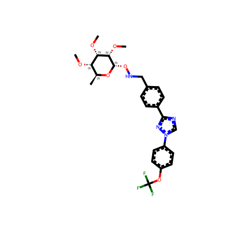 CO[C@@H]1[C@H](OC)[C@H](ONCc2ccc(-c3ncn(-c4ccc(OC(F)(F)F)cc4)n3)cc2)O[C@@H](C)[C@@H]1OC